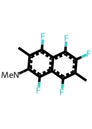 CNc1c(C)c(F)c2c(F)c(F)c(C)c(F)c2c1F